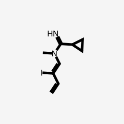 C=C/C(I)=C/N(C)C(=N)C1CC1